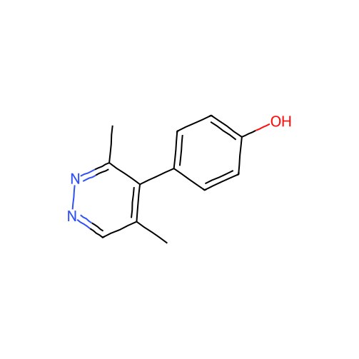 Cc1cnnc(C)c1-c1ccc(O)cc1